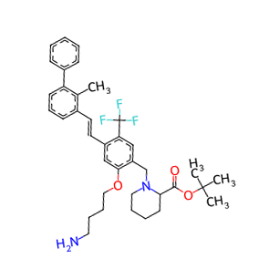 Cc1c(C=Cc2cc(OCCCCN)c(CN3CCCCC3C(=O)OC(C)(C)C)cc2C(F)(F)F)cccc1-c1ccccc1